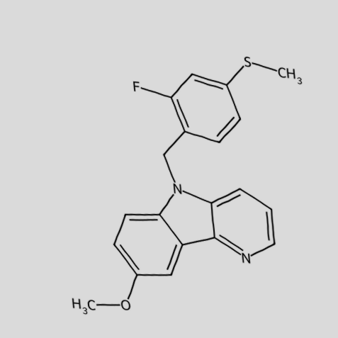 COc1ccc2c(c1)c1ncccc1n2Cc1ccc(SC)cc1F